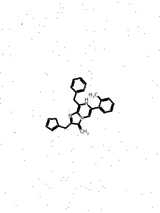 C=c1c(CC2=CC=CC2)nc2n1C=C(c1ccccc1C)NC=2Cc1ccccc1